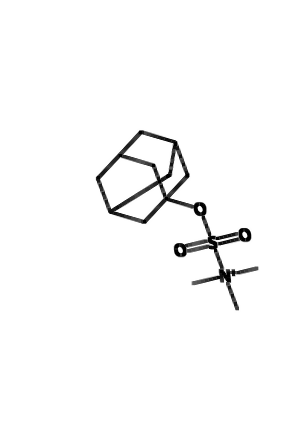 C[N+](C)(C)S(=O)(=O)OC12CC3CC(CC(C3)C1)C2